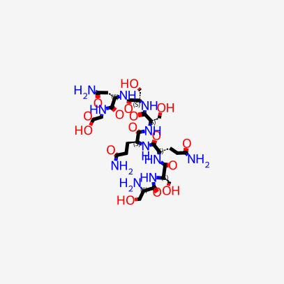 NC(=O)CC[C@H](NC(=O)[C@H](CCC(N)=O)NC(=O)[C@H](CO)NC(=O)[C@@H](N)CO)C(=O)N[C@@H](CO)C(=O)N[C@@H](CO)C(=O)N[C@@H](CC(N)=O)C(=O)NCC(=O)O